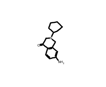 Nc1ccc2c(c1)CN(C1CCCCC1)CC2=O